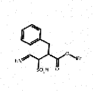 CC(C)OC(=O)C(Cc1ccccc1)C(C=N)S(=O)(=O)O